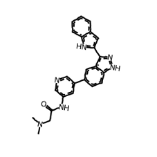 CN(C)CC(=O)Nc1cncc(-c2ccc3[nH]nc(-c4cc5ccccc5[nH]4)c3c2)c1